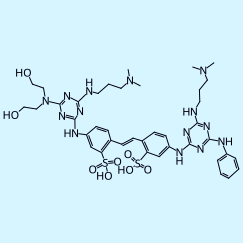 CN(C)CCCNc1nc(Nc2ccccc2)nc(Nc2ccc(/C=C/c3ccc(Nc4nc(NCCCN(C)C)nc(N(CCO)CCO)n4)cc3S(=O)(=O)O)c(S(=O)(=O)O)c2)n1